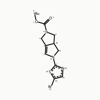 CC(C)(C)OC(=O)N1CC2=CN(c3ncc(Br)s3)CC2C1